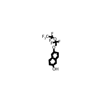 Oc1ccc2cc(OCC(F)(F)OC(F)(F)C(F)(F)F)ccc2c1